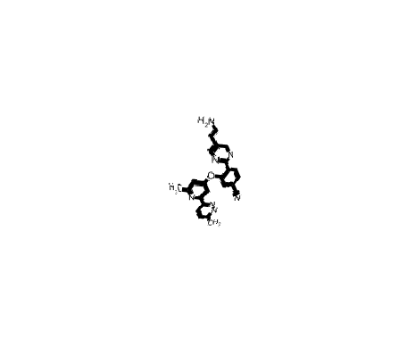 Cc1ccc(-c2cc(Oc3cc(C#N)ccc3-c3ncc(CCN)cn3)cc(C)n2)nn1